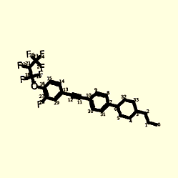 CCCC1CCC(c2ccc(C#Cc3ccc(OC(F)(F)C(F)C(F)(F)F)c(F)c3)cc2)CC1